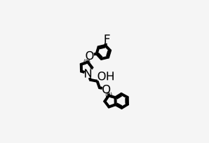 OC(CO[C@@H]1CCc2ccccc21)CN1CC[C@H](Oc2cccc(F)c2)C1